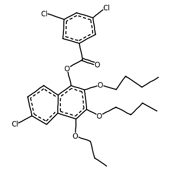 CCCCOc1c(OCCCC)c(OC(=O)c2cc(Cl)cc(Cl)c2)c2ccc(Cl)cc2c1OCCC